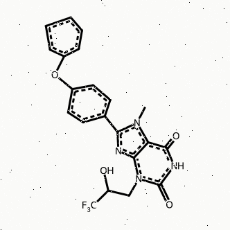 Cn1c(-c2ccc(Oc3ccccc3)cc2)nc2c1c(=O)[nH]c(=O)n2CC(O)C(F)(F)F